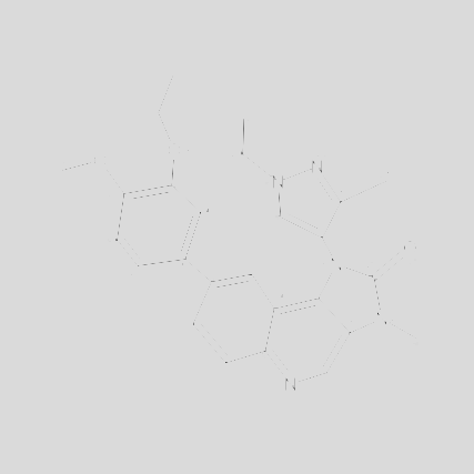 CCOc1cc(-c2ccc3ncc4c(c3c2)n(-c2cn(CC)nc2C)c(=O)n4C)ccc1OC